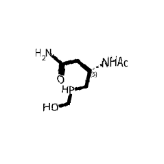 CC(=O)N[C@H](CPCO)CC(N)=O